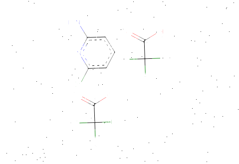 Nc1cccc(Br)n1.O=C(O)C(F)(F)F.O=C(O)C(F)(F)F